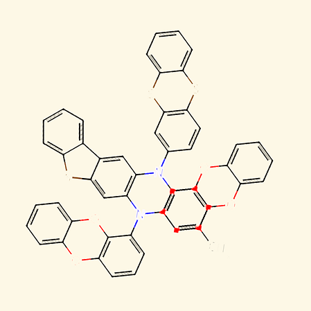 Cc1ccc(N(c2ccc3c(c2)Sc2ccccc2S3)c2cc3c(cc2N(c2ccc4c(c2)Oc2ccccc2O4)c2cccc4c2Oc2ccccc2O4)sc2ccccc23)cc1